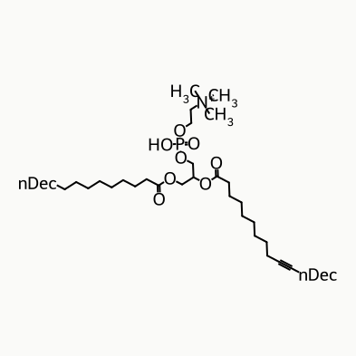 CCCCCCCCCCC#CCCCCCCCCC(=O)OC(COC(=O)CCCCCCCCCCCCCCCCCC)COP(=O)(O)OCC[N+](C)(C)C